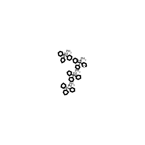 [PH2][Pd][PH](c1ccccc1)(c1ccccc1)c1ccccc1.[PH2][Pd][PH](c1ccccc1)(c1ccccc1)c1ccccc1.[PH2][Pd][PH](c1ccccc1)(c1ccccc1)c1ccccc1.[PH2][Pd][PH](c1ccccc1)(c1ccccc1)c1ccccc1